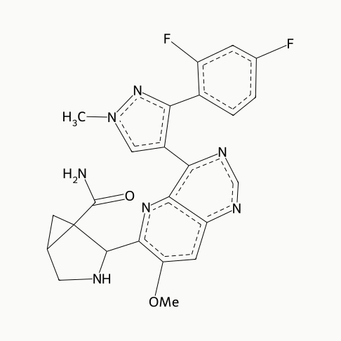 COc1cc2ncnc(-c3cn(C)nc3-c3ccc(F)cc3F)c2nc1C1NCC2CC21C(N)=O